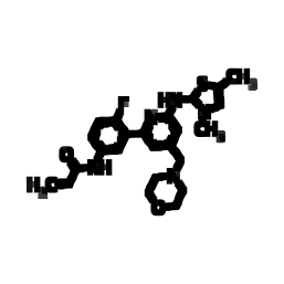 C=CC(=O)Nc1ccc(F)c(-c2cc(CN3CCOCC3)cc(NC3SC(C)=CN3C)n2)c1